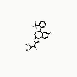 CN(C)C(=O)c1nc2n(n1)-c1ccc(Cl)cc1C(c1ccccc1C(F)(F)F)=NC2